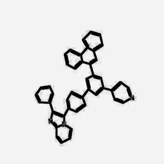 c1ccc(-c2nc3ccccn3c2-c2ccc(-c3cc(-c4ccncc4)cc(-c4cc5ccccc5c5ccccc45)c3)cc2)cc1